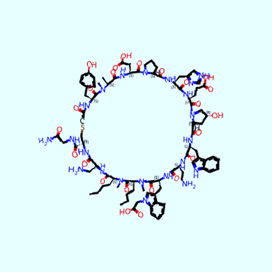 CCCC[C@H]1C(=O)N(C)[C@@H](CCCC)C(=O)N[C@@H](CN)C(=O)N[C@H](C(=O)NCC(N)=O)CSCC(=O)N[C@@H](Cc2ccc(O)cc2)C(=O)N(C)[C@@H](C)C(=O)N[C@@H](CC(=O)O)C(=O)N2CCC[C@H]2C(=O)N[C@@H](Cc2c[nH]cn2)C(=O)N[C@@H](CCC(=O)O)C(=O)N2C[C@H](O)C[C@H]2C(=O)N[C@@H](Cc2c[nH]c3ccccc23)C(=O)N[C@@H](CCN)C(=O)N[C@@H](Cc2cn(CC(=O)O)c3ccccc23)C(=O)N1C